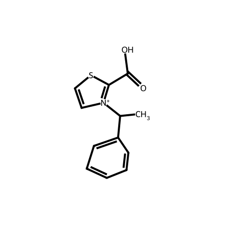 CC(c1ccccc1)[n+]1ccsc1C(=O)O